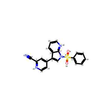 N#Cc1cc(-c2cn(S(=O)(=O)c3ccccc3)c3ncccc23)ccn1